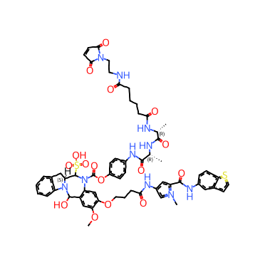 COc1cc2c(cc1OCCCC(=O)Nc1cc(C(=O)Nc3ccc4sccc4c3)n(C)c1)N(C(=O)Oc1ccc(NC(=O)[C@@H](C)NC(=O)[C@@H](C)NC(=O)CCCCC(=O)NCCN3C(=O)C=CC3=O)cc1)C(S(=O)(=O)O)[C@@H]1Cc3ccccc3N1C2O